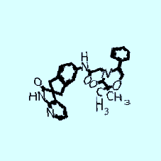 CC1(C)OCC(c2ccccc2)N(CC(=O)Nc2ccc3c(c2)CC2(C3)C(=O)Nc3ncccc32)C1=O